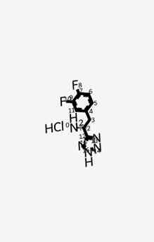 Cl.N[C@H](Cc1ccc(F)c(F)c1)c1nn[nH]n1